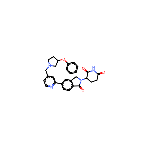 O=C1CCC(N2Cc3cc(-c4cc(CN5CCC(Oc6ccccc6)C5)ccn4)ccc3C2=O)C(=O)N1